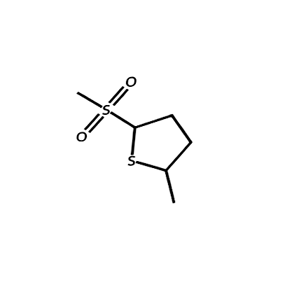 CC1CCC(S(C)(=O)=O)S1